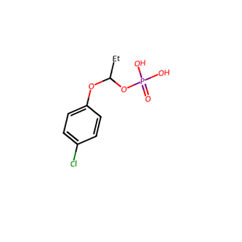 CCC(Oc1ccc(Cl)cc1)OP(=O)(O)O